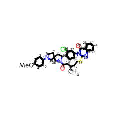 COc1ccc(N2CCC3(CCN(C(=O)CC(C)CCSc4nc5ccccc5c(=O)n4-c4cccc(Cl)c4)C3)C2)cc1